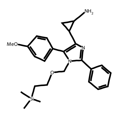 COc1ccc(-c2c(C3CC3N)nc(-c3ccccc3)n2COCC[Si](C)(C)C)cc1